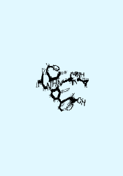 CCC(CC(=O)O)c1ccc(N(CC(C)C)C2CCOCC2)c(Nc2n[nH]c(C3CC3)n2)c1